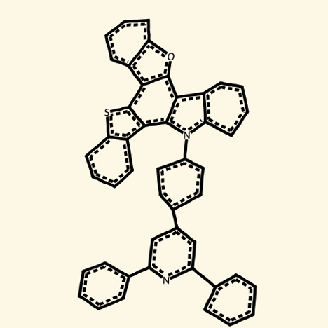 c1ccc(-c2cc(-c3ccc(-n4c5ccccc5c5c6oc7ccccc7c6c6sc7ccccc7c6c54)cc3)cc(-c3ccccc3)n2)cc1